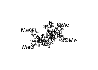 COc1ccc(CN(Cc2ccc(OC)cc2)c2cc(C)c(C(F)(F)F)c(-c3c(Cl)c4c5c(nc(OC[C@@H]6CC(F)(F)CN6C)nc5c3F)N([C@H](C)c3cccnc3N(Cc3ccc(OC)cc3)Cc3ccc(OC)cc3)CCO4)n2)cc1